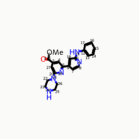 COC(=O)c1cc(-c2ccnc(Nc3ccccc3)c2)nc(N2CCNCC2)c1